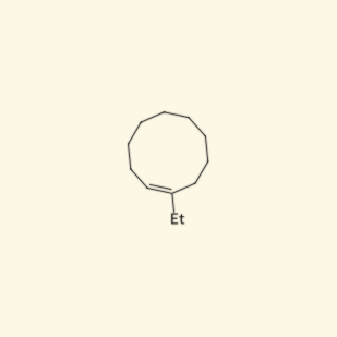 [CH2]C/C1=C/CCCCCCCC1